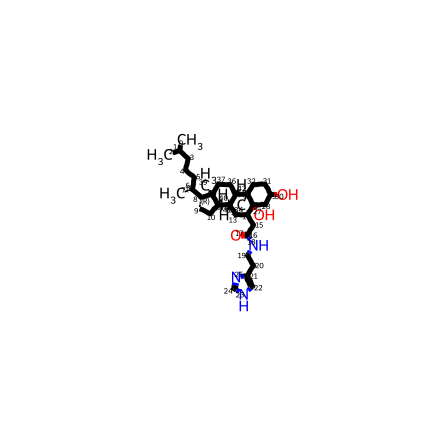 CC(C)CCC[C@@H](C)[C@H]1CC[C@H]2[C@@H]3CC(CC(=O)NCCc4c[nH]cn4)C4(O)CC(O)CC[C@]4(C)[C@H]3CC[C@]12C